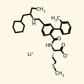 CCC(CC1CCCCC1)NCc1ccc(C(=O)N[C@@H](CCSC)C(=O)[O-])c(-c2ccccc2C)c1.[Li+]